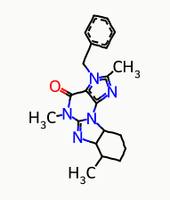 Cc1nc2c(n1Cc1ccccc1)C(=O)N(C)C1=NC3C(C)CCCC3N12